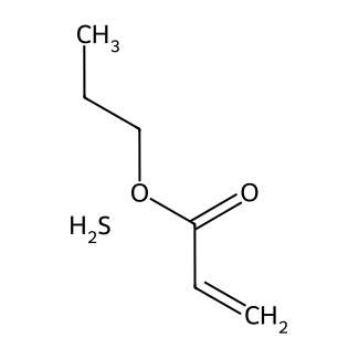 C=CC(=O)OCCC.S